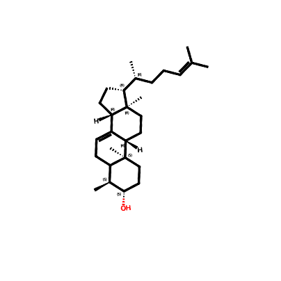 CC(C)=CCC[C@@H](C)[C@H]1CC[C@H]2C3=CCC4[C@H](C)[C@@H](O)CC[C@]4(C)[C@H]3CC[C@]12C